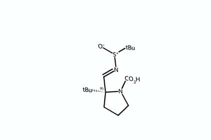 CC(C)(C)[S+]([O-])N=C[C@]1(C(C)(C)C)CCCN1C(=O)O